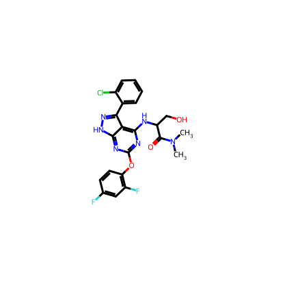 CN(C)C(=O)C(CO)Nc1nc(Oc2ccc(F)cc2F)nc2[nH]nc(-c3ccccc3Cl)c12